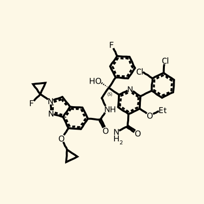 CCOc1c(C(N)=O)cc([C@@](O)(CNC(=O)c2cc(OC3CC3)c3nn(C4(F)CC4)cc3c2)c2cccc(F)c2)nc1-c1cccc(Cl)c1Cl